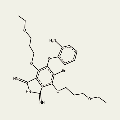 CCOCCCOc1c(Br)c(Sc2ccccc2N)c(OCCCOCC)c2c1C(=N)NC2=N